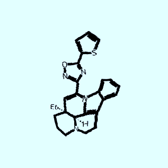 CC[C@@]12C=C(c3noc(-c4cccs4)n3)n3c4c(c5ccccc53)CCN(CCC1)[C@H]42